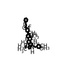 C=C(C)[C@@H]1CC[C@]2(NCC[C@]3(O)CC[C@](C)(O)CC3)CC[C@]3(C)[C@H](CC[C@@H]4[C@@]5(C)CC=C(C6=CC[C@@](CF)(C(=O)COc7ccccc7)CC6)C(C)(C)[C@@H]5CC[C@]43C)[C@@H]12